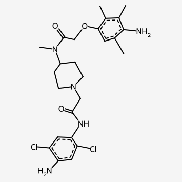 Cc1cc(OCC(=O)N(C)C2CCN(CC(=O)Nc3cc(Cl)c(N)cc3Cl)CC2)c(C)c(C)c1N